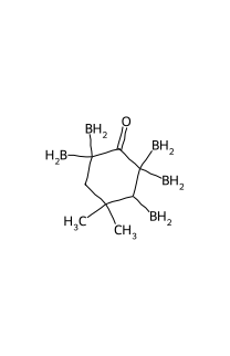 BC1C(C)(C)CC(B)(B)C(=O)C1(B)B